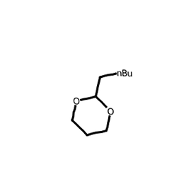 CCCCCC1OCCCO1